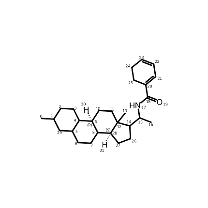 CC1CCC2C(CCC3[C@@H]2CCC2(C)C(C(C)NC(=O)C4=CC=CCC4)CC[C@@H]32)C1